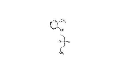 CCCS(=O)(=O)CCNc1ccccc1C